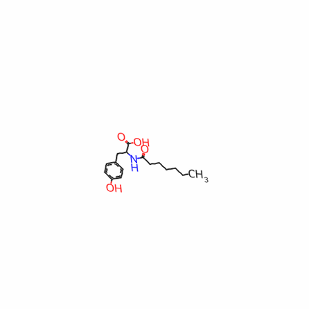 CCCCCCC(=O)NC(Cc1ccc(O)cc1)C(=O)O